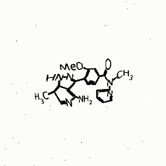 COc1cc(C(=O)N(C)c2ccccn2)ccc1-c1n[nH]c2c(C)cnc(N)c12